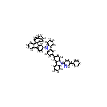 c1ccc(-c2ccc(-n3c4ccccc4c4cc(-c5ccc6c(c5)c5ccccc5n6-c5ccc6c(c5)C5(c7ccccc7-6)C6CC7CC(C6)CC5C7)ccc43)nc2)cc1